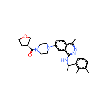 Cc1cccc([C@@H](C)Nc2nnc(C)c3ccc(N4CCN(C(=O)[C@H]5CCOC5)CC4)cc23)c1C